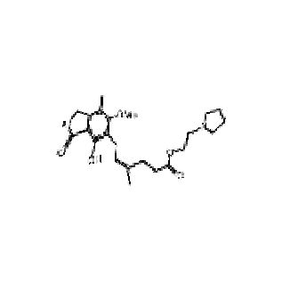 COc1c(C)c2c(c(O)c1CC=C(C)CCC(=O)OCCN1CCCC1)C(=O)OC2